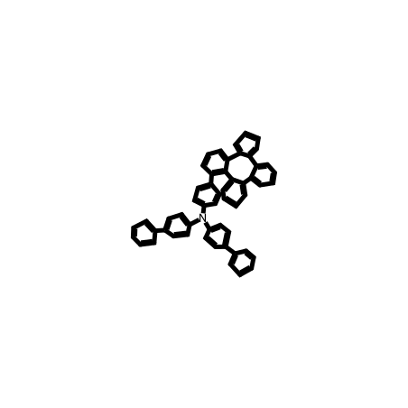 c1ccc(-c2ccc(N(c3ccc(-c4ccccc4)cc3)c3ccc(-c4cccc5c4-c4ccccc4-c4ccccc4-c4ccccc4-5)cc3)cc2)cc1